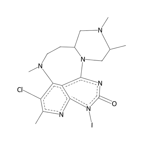 Cc1nc2c3c(nc(=O)n2I)N2CC(C)N(C)CC2CCN(C)c3c1Cl